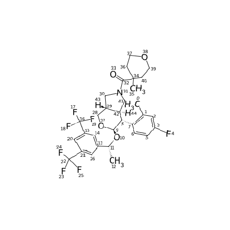 Cc1cc(F)ccc1[C@@H]1[C@@H](O[C@H](C)c2cc(C(F)(F)F)cc(C(F)(F)F)c2)OC[C@@H]2CN(C(=O)C3(C)CCOCC3)C[C@H]21